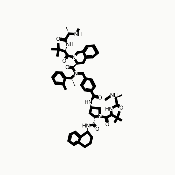 CN[C@@H](C)C(=O)NC(C(=O)N1C[C@@H](NC(=O)c2ccc(CN(C(=O)[C@@H]3Cc4ccccc4CN3C(=O)[C@@H](NC(=O)[C@H](C)NC)C(C)(C)C)[C@H](C)c3ccccc3C)cc2)C[C@H]1C(=O)N[C@@H]1CCCc2ccccc21)C(C)(C)C